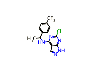 CC(Nc1nc(Cl)nc2[nH]ncc12)c1ccc(C(F)(F)F)cc1